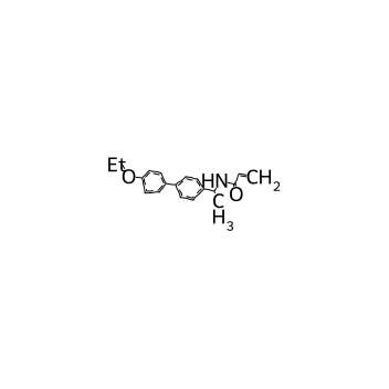 C=CC(=O)NC(C)c1ccc(-c2ccc(OCC)cc2)cc1